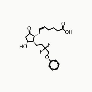 O=C(O)CCC/C=C\C[C@H]1C(=O)C[C@@H](O)[C@@H]1CCC(F)(F)COc1ccccc1